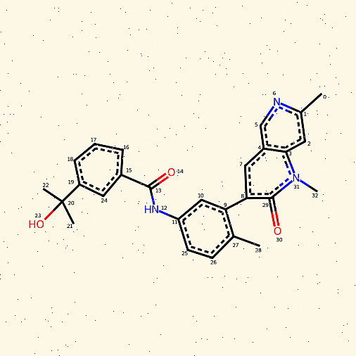 Cc1cc2c(cn1)cc(-c1cc(NC(=O)c3cccc(C(C)(C)O)c3)ccc1C)c(=O)n2C